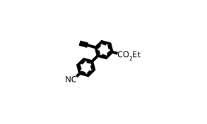 C#Cc1ccc(C(=O)OCC)cc1-c1ccc(C#N)cc1